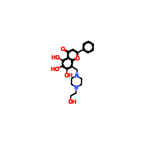 O=c1cc(-c2ccccc2)oc2c(CN3CCN(CCO)CC3)c(O)c(O)c(O)c12